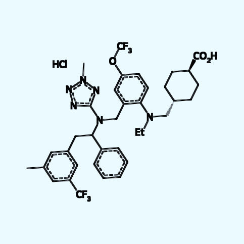 CCN(C[C@H]1CC[C@H](C(=O)O)CC1)c1ccc(OC(F)(F)F)cc1CN(c1nnn(C)n1)C(Cc1cc(C)cc(C(F)(F)F)c1)c1ccccc1.Cl